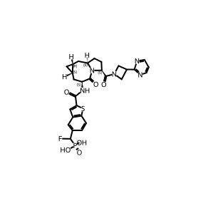 O=C(N[C@H]1C[C@@H]2C[C@@H]2C[C@H]2CC[C@@H](C(=O)N3CC(c4ncccn4)C3)N2C1=O)c1cc2cc(C(F)P(=O)(O)O)ccc2s1